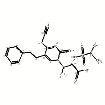 CC([C@H](NS(=O)(=O)N(C)C)C(=O)O)n1cc(CCc2ccccc2)c(SC#N)nc1=O